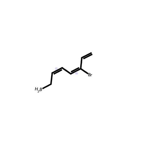 BC/C=C\C=C(\Br)C=C